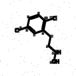 ONCCc1cc(Cl)ccc1Cl